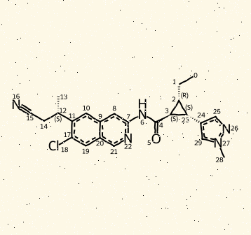 CC[C@H]1[C@H](C(=O)Nc2cc3cc([C@@H](C)CC#N)c(Cl)cc3cn2)[C@H]1c1cnn(C)c1